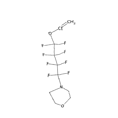 [CH2]=[Cf][O]C(F)(F)C(F)(F)C(F)(F)C(F)(F)N1CCOCC1